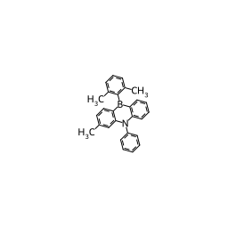 Cc1ccc2c(c1)N(c1ccccc1)c1ccccc1B2c1c(C)cccc1C